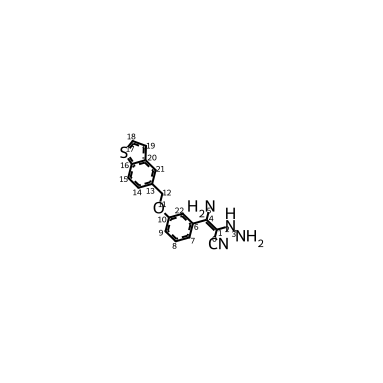 N#C/C(NN)=C(/N)c1cccc(OCc2ccc3sccc3c2)c1